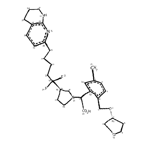 Cc1ccc(CO[C@@H]2CCOC2)c(C(C(=O)O)N2CC[C@@H](C(F)(F)CCCCc3ccc4c(n3)NCCC4)C2)c1